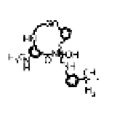 CNc1cc2cc(c1)C(=O)N[C@H]([C@H](O)CNCc1cccc(C(C)C)c1)Cc1cccc(c1)OCCCCN2